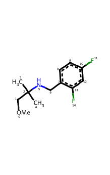 COCC(C)(C)NCc1ccc(F)cc1F